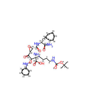 CC(C)(C)OC(=O)NCCCC[C@@](N)(C(=O)O)C(ONc1ccccc1)C(=O)[C@H]1O[C@@H]1C(=O)NC(Cc1ccccc1)C(N)=O